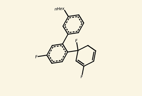 CCCCCCc1cccc(-c2cc(F)ccc2C2(F)C=C(F)C=CC2)c1